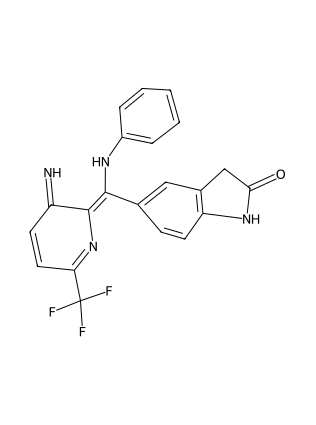 N=C1C=CC(C(F)(F)F)=N/C1=C(/Nc1ccccc1)c1ccc2c(c1)CC(=O)N2